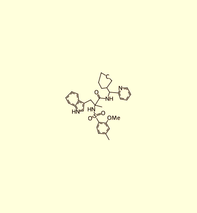 COc1cc(C)ccc1S(=O)(=O)NC(C)(Cc1c[nH]c2ccccc12)C(=O)NC(c1ccccn1)C1CCCCC1